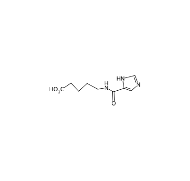 O=C(O)CCCCNC(=O)c1cnc[nH]1